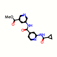 COC(=O)c1cncc(NC(=O)c2ccnc(NC(=O)C3CC3)c2)c1